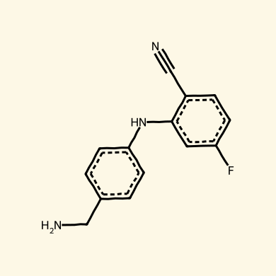 N#Cc1ccc(F)cc1Nc1ccc(CN)cc1